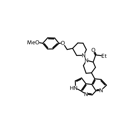 CCC(=O)C1CC(c2ccnc3cnc4[nH]ccc4c23)CCN1N1CCCC(COc2ccc(OC)cc2)C1